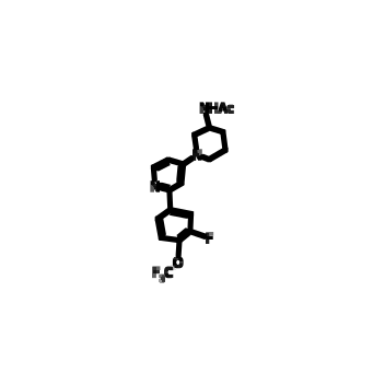 CC(=O)NC1CCCN(c2ccnc(-c3ccc(OC(F)(F)F)c(F)c3)c2)C1